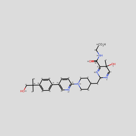 CC1(O)C=NC(CC2CCN(c3ccc(-c4ccc(C(C)(C)CO)cc4)cn3)CC2)N=C1C(=O)NCC(=O)O